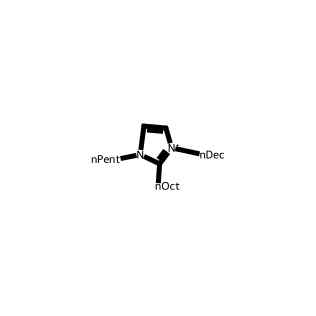 CCCCCCCCCC[n+]1ccn(CCCCC)c1CCCCCCCC